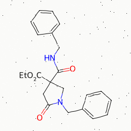 CCOC(=O)C1(C(=O)NCc2ccccc2)CC(=O)N(Cc2ccccc2)C1